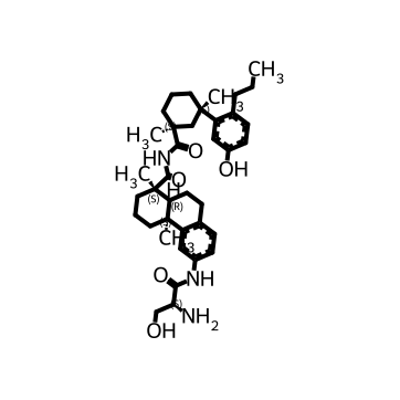 CCCc1ccc(O)cc1[C@@]1(C)CCC[C@](C)(C(=O)NC(=O)[C@@]2(C)CCC[C@]3(C)c4cc(NC(=O)[C@@H](N)CO)ccc4CC[C@@H]23)C1